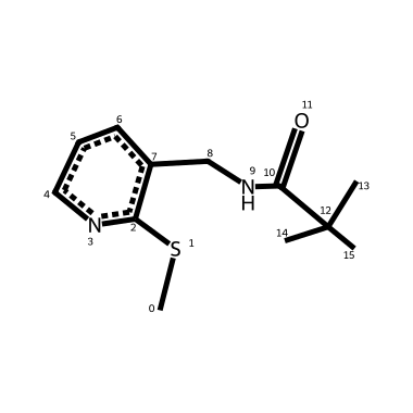 CSc1ncccc1CNC(=O)C(C)(C)C